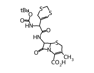 CC1=C(C(=O)O)N2C(=O)C(NC(=O)C(NC(=O)OC(C)(C)C)C3=CSCSC3)C2SC1